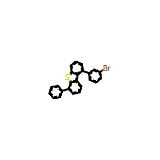 Brc1cccc(-c2cccc3sc4c(-c5ccccc5)cccc4c23)c1